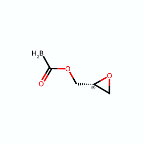 BC(=O)OC[C@H]1CO1